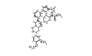 COc1ccc([C@H]2CC[C@H](CN(c3cc(-c4cnn(C5CC5)c4)ccn3)C(=O)[C@H]3CC[C@H](NC(C)=O)CC3)CC2)cc1C